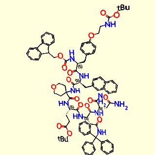 CC(C)(C)OC(=O)CC[C@H](NC(=O)C1(NC(=O)[C@H](Cc2ccc3ccccc3c2)NC(=O)[C@H](Cc2ccc(OCCNC(=O)OC(C)(C)C)cc2)NC(=O)OCC2c3ccccc3-c3ccccc32)CCOCC1)C(=O)N[C@@H](CC(=O)NC(c1ccccc1)(c1ccccc1)c1ccccc1)C(=O)N[C@@H](CC(N)=O)C(N)=O